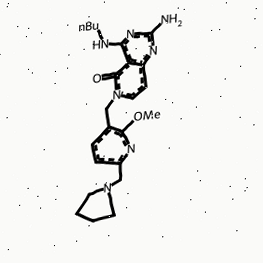 CCCCNc1nc(N)nc2ccn(Cc3ccc(CN4CCCC4)nc3OC)c(=O)c12